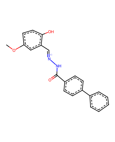 COc1ccc(O)c(/C=N/NC(=O)c2ccc(-c3ccccc3)cc2)c1